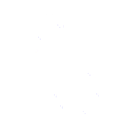 CCCNc1noc2cc(-c3nn(C(C)C)c4ncnc(N)c34)ccc12